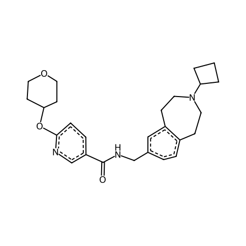 O=C(NCc1ccc2c(c1)CCN(C1CCC1)CC2)c1ccc(OC2CCOCC2)nc1